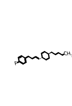 CCCCC[C@H]1CC[C@H](C=CCCc2ccc(F)cc2)CC1